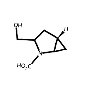 O=C(O)N1C(CO)C[C@@H]2CC21